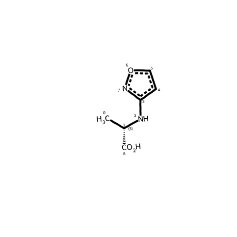 C[C@H](Nc1ccon1)C(=O)O